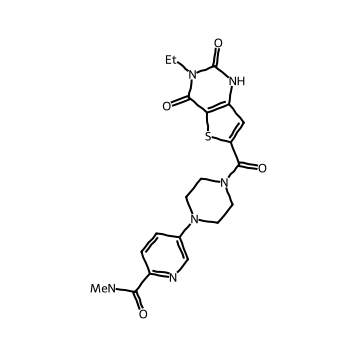 CCn1c(=O)[nH]c2cc(C(=O)N3CCN(c4ccc(C(=O)NC)nc4)CC3)sc2c1=O